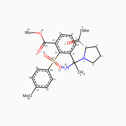 COC(=O)[C@@H]1CCCN1C(C)(N)c1cccc(C(=O)OC(C)(C)C)c1S(=O)(=O)c1ccc(OC)cc1